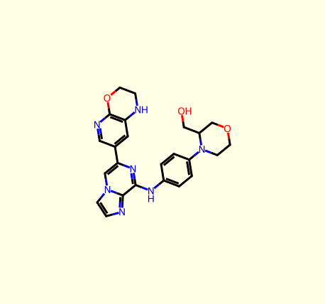 OCC1COCCN1c1ccc(Nc2nc(-c3cnc4c(c3)NCCO4)cn3ccnc23)cc1